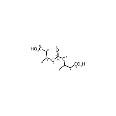 CC(CC(=O)O)O[PH](=O)OC(C)CC(=O)O